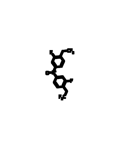 [O-][S+](c1ccc(CC(F)(F)F)c(F)c1)c1ccc(CC(F)(F)F)c(F)c1